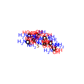 NCC1O[C@H](OC2C(N)C[C@@H](N)C(O)[C@H]2O[C@@H]2O[C@H](CNC(=S)NC[C@H]3O[C@@H](OC4C(O[C@@H]5OC(CN)C(O)[C@H](O)C5N)C(N)C[C@H](N)[C@@H]4O)C(O)C3O[C@@H]3O[C@H](CN)C(O)C(O)C3N)C(O[C@H]3O[C@@H](CN)C(O)C(O)C3N)[C@@H]2O)C(N)[C@@H](O)C1O